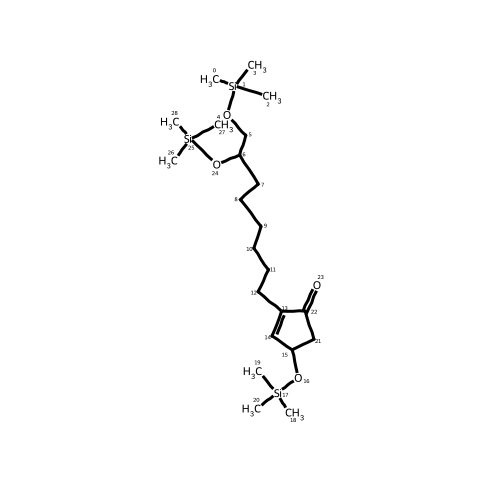 C[Si](C)(C)OCC(CCCCCCC1=CC(O[Si](C)(C)C)CC1=O)O[Si](C)(C)C